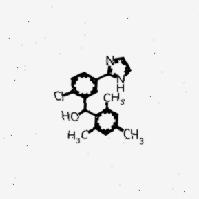 Cc1cc(C)c(C(O)c2cc(-c3ncc[nH]3)ccc2Cl)c(C)c1